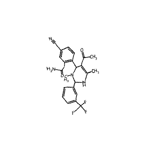 CC(=O)C1=C(C)NC(c2cccc(C(F)(F)F)c2)N(C)C1c1ccc(C#N)cc1C(N)=O